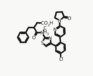 CN(C(=O)C(CC(=O)O)Cc1ccccc1)c1nc(-c2cc(Cl)ccc2-c2ccc(N3CCCC3=O)nc2)cs1